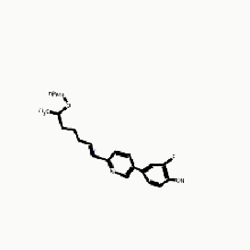 CCCCCOC(C)CCC/C=C/c1ccc(-c2ccc(O)c(F)c2)cn1